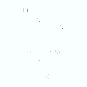 CCOP(=O)([O-])OC.CC[n+]1ccn(C)c1